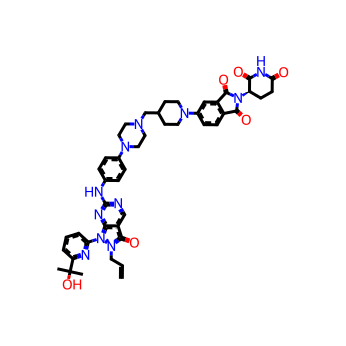 C=CCn1c(=O)c2cnc(Nc3ccc(N4CCN(CC5CCN(c6ccc7c(c6)C(=O)N([C@@H]6CCC(=O)NC6=O)C7=O)CC5)CC4)cc3)nc2n1-c1cccc(C(C)(C)O)n1